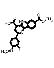 COC(=O)c1ccc2c(c1)[nH]c1c(C(=O)O)cc(-c3ccc(OC)c(F)c3)nc12